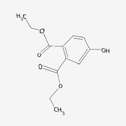 CCOC(=O)c1ccc(O)cc1C(=O)OCC